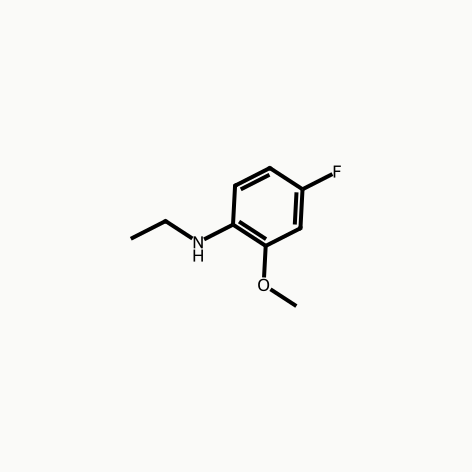 CCNc1ccc(F)cc1OC